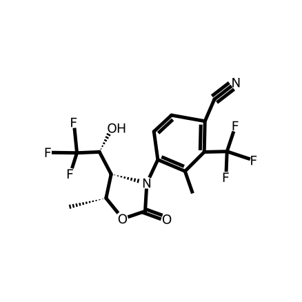 Cc1c(N2C(=O)O[C@H](C)[C@@H]2[C@@H](O)C(F)(F)F)ccc(C#N)c1C(F)(F)F